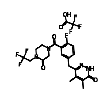 Cc1c(Cc2ccc(F)c(C(=O)N3CCN(CC(F)(F)F)C(=O)C3)c2)n[nH]c(=O)c1C.O=C(O)C(F)(F)F